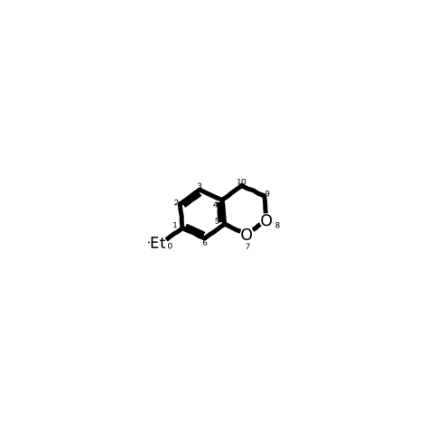 C[CH]c1ccc2c(c1)OOCC2